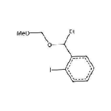 CCC(OCOC)c1ccccc1I